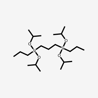 CCC[Si](CCC[Si](CCC)(OC(C)C)OC(C)C)(OC(C)C)OC(C)C